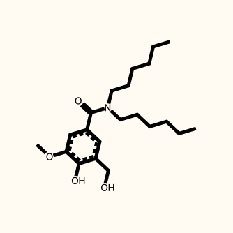 CCCCCCN(CCCCCC)C(=O)c1cc(CO)c(O)c(OC)c1